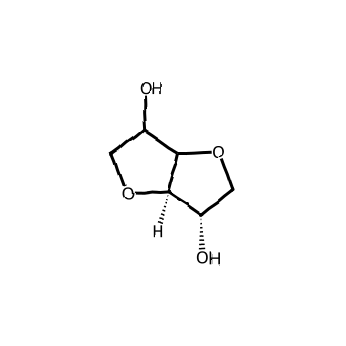 OC1CO[C@H]2C1OC[C@@H]2O